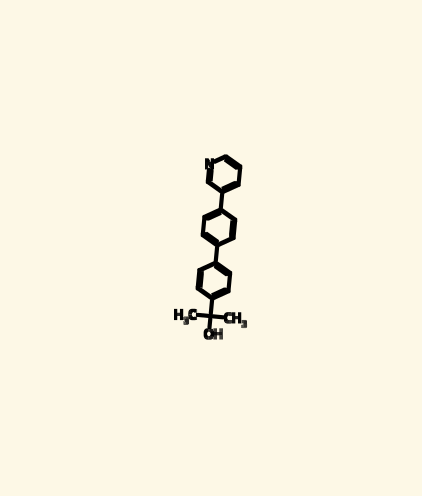 CC(C)(O)c1ccc(-c2ccc(-c3cccnc3)cc2)cc1